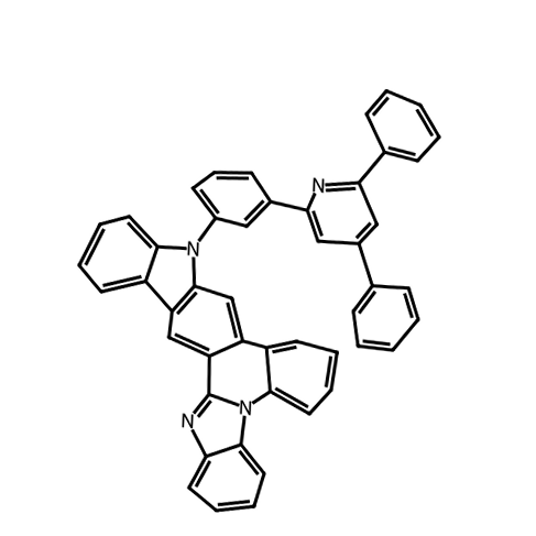 c1ccc(-c2cc(-c3ccccc3)nc(-c3cccc(-n4c5ccccc5c5cc6c(cc54)c4ccccc4n4c5ccccc5nc64)c3)c2)cc1